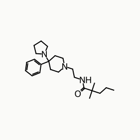 CCCC(C)(C)C(=O)NCCN1CCC(c2ccccc2)(N2CCCC2)CC1